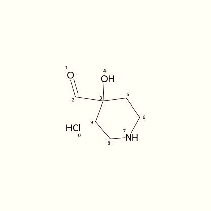 Cl.O=CC1(O)CCNCC1